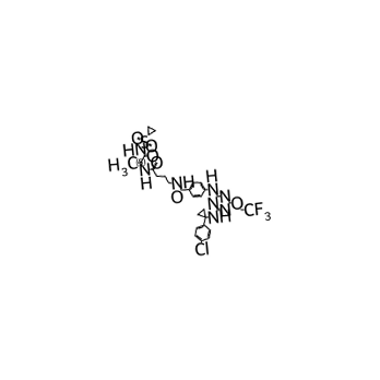 C[C@H](NC(=O)CCCNC(=O)c1ccc(Nc2nc(NC3(c4ccc(Cl)cc4)CC3)nc(OCC(F)(F)F)n2)cc1)C(=O)NS(=O)(=O)C1CC1